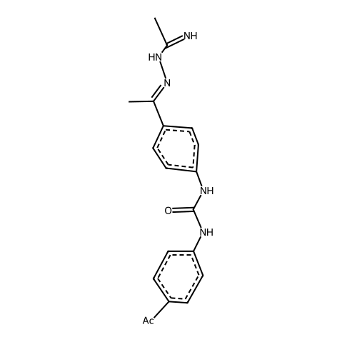 CC(=N)N/N=C(\C)c1ccc(NC(=O)Nc2ccc(C(C)=O)cc2)cc1